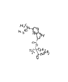 CN(C)c1cnc2[nH]cc(C(=O)OCC(C)(C)C(N)=O)c2n1